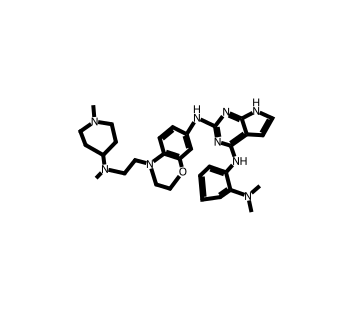 CN1CCC(N(C)CCN2CCOc3cc(Nc4nc(Nc5ccccc5N(C)C)c5cc[nH]c5n4)ccc32)CC1